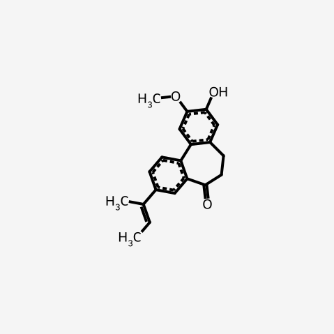 CC=C(C)c1ccc2c(c1)C(=O)CCc1cc(O)c(OC)cc1-2